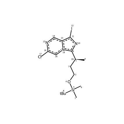 C[C@@H](CCO[Si](C)(C)C(C)(C)C)c1nc(I)c2cnc(Cl)cn12